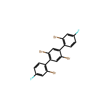 Fc1ccc(-c2cc(Br)c(-c3ccc(F)cc3Br)cc2Br)c(Br)c1